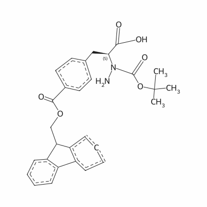 CC(C)(C)OC(=O)N(N)[C@@H](Cc1ccc(C(=O)OCC2c3ccccc3-c3ccccc32)cc1)C(=O)O